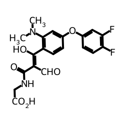 CN(C)c1cc(Oc2ccc(F)c(F)c2)ccc1/C(O)=C(\C=O)C(=O)NCC(=O)O